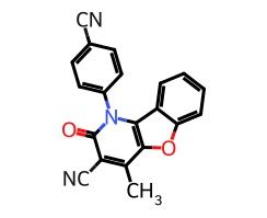 Cc1c(C#N)c(=O)n(-c2ccc(C#N)cc2)c2c1oc1ccccc12